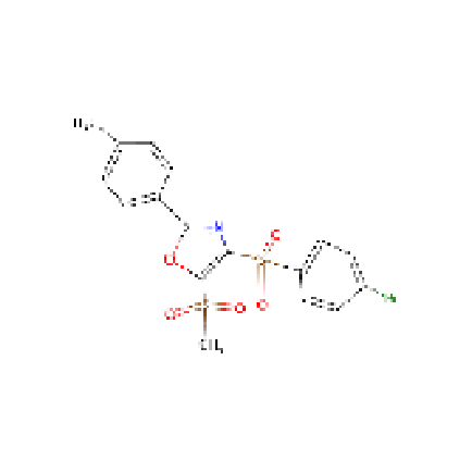 Cc1ccc(-c2nc(S(=O)(=O)c3ccc(Br)cc3)c(S(C)(=O)=O)o2)cc1